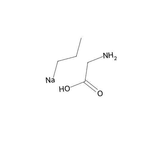 CC[CH2][Na].NCC(=O)O